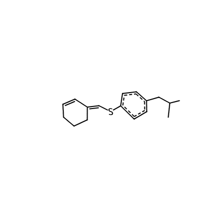 CC(C)Cc1ccc(SC=C2C=CCCC2)cc1